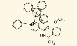 COc1cccc(C(C)NC(=O)C2=C3Nc4ccccc4C34C(C=C2)N(c2ccncc2)CN4C(c2ccccc2)(c2ccccc2)c2ccccc2)c1